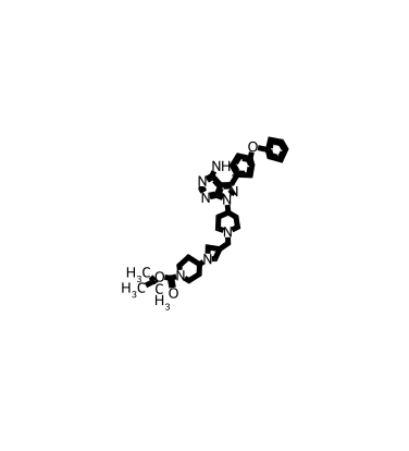 CC(C)(C)OC(=O)N1CCC(N2CC(CN3CCC(n4nc(-c5ccc(Oc6ccccc6)cc5)c5c(N)ncnc54)CC3)C2)CC1